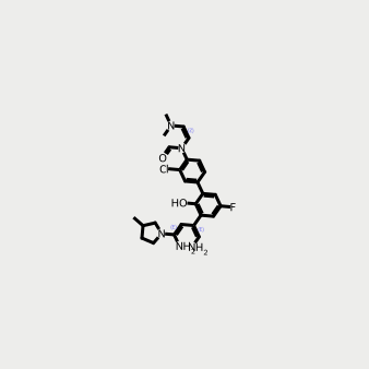 CC1CCN(/C(N)=C/C(=C\N)c2cc(F)cc(-c3ccc(N(C=O)/C=C\N(C)C)c(Cl)c3)c2O)C1